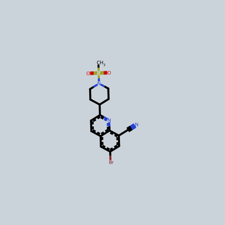 CS(=O)(=O)N1CCC(c2ccc3cc(Br)cc(C#N)c3n2)CC1